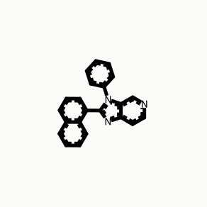 c1ccc(-n2c(-c3cccc4ccccc34)nc3ccncc32)cc1